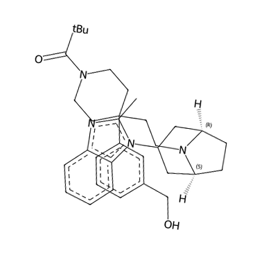 Cc1nc2ccccc2n1C1C[C@H]2CC[C@@H](C1)N2CCC1(c2cccc(CO)c2)CCN(C(=O)C(C)(C)C)CC1